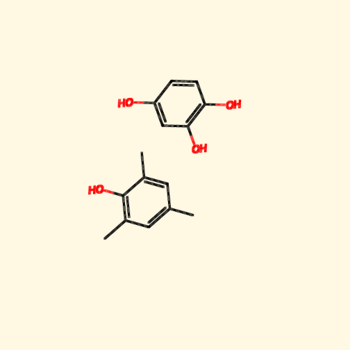 Cc1cc(C)c(O)c(C)c1.Oc1ccc(O)c(O)c1